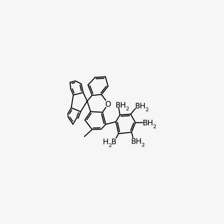 Bc1c(B)c(B)c(-c2cc(C)cc3c2Oc2ccccc2C32c3ccccc3-c3ccccc32)c(B)c1B